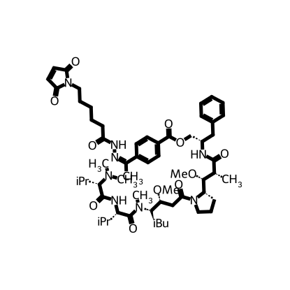 CC[C@H](C)[C@@H]([C@@H](CC(=O)N1CCC[C@H]1[C@H](OC)[C@@H](C)C(=O)N[C@H](COC(=O)c1ccc(/C(C)=N\NC(=O)CCCCCN2C(=O)C=CC2=O)cc1)Cc1ccccc1)OC)N(C)C(=O)[C@@H](NC(=O)[C@H](C(C)C)N(C)C)C(C)C